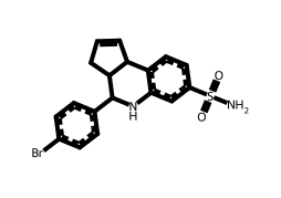 NS(=O)(=O)c1ccc2c(c1)NC(c1ccc(Br)cc1)C1CC=CC21